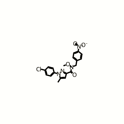 CON(Cc1ccc([N+](=O)[O-])cc1)C(=O)c1cc(C)n(-c2ccc(Cl)cc2)n1